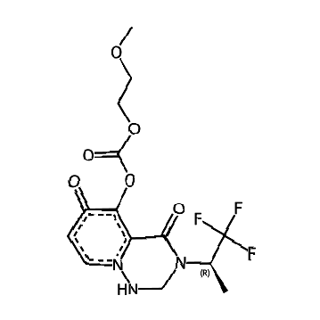 COCCOC(=O)Oc1c2n(ccc1=O)NCN([C@H](C)C(F)(F)F)C2=O